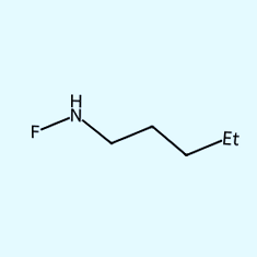 CCCCCNF